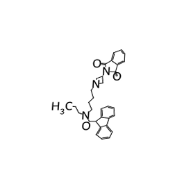 CCCN(CCCCN1CC(N2C(=O)c3ccccc3C2=O)C1)C(=O)C1c2ccccc2-c2ccccc21